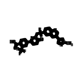 Cn1cc(-c2cnc3ccc(C(F)(F)Cn4nc(-c5ccc(C(=O)O)c(C(F)(F)F)c5)ccc4=O)cc3c2)cn1